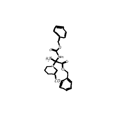 NC(NC(=O)OCc1ccccc1)(C(=O)OCc1ccccc1)N1CCCC(C(=O)O)C1